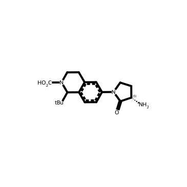 CC(C)(C)C1c2ccc(N3CC[C@H](N)C3=O)cc2CCN1C(=O)O